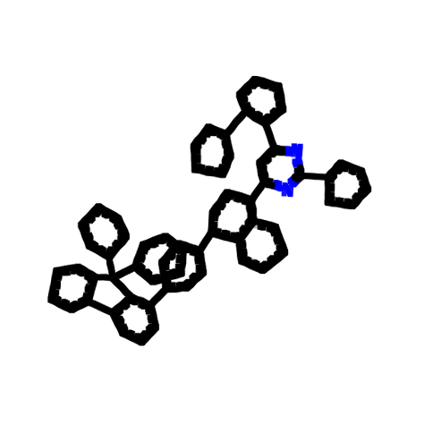 c1ccc(-c2nc(-c3ccccc3-c3ccccc3)cc(-c3ccc(-c4ccc(-c5cccc6c5C(c5ccccc5)(c5ccccc5)c5ccccc5-6)cc4)c4ccccc34)n2)cc1